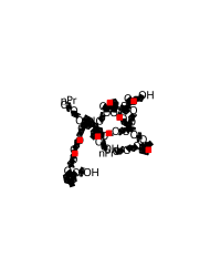 CCCOCCOCCOc1ccc(Cc2cc(C)c(OCCO)c(OCCOCCOC(COCCOc3c(C)cccc3OCCOCCOCCC)C(COCCOc3sccc3C(=O)OCCO)OCCOc3ccsc3C(=O)OCCO)c2)cc1OCCOCCOCCOCCOc1ccc(C)cc1OCCO